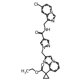 CCOC(=O)C1(c2cccn3cc(Cn4cc(C(=O)NCc5ncn6ccc(Cl)cc56)cn4)nc23)CC1